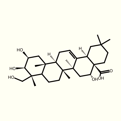 CC1(C)CC[C@]2(C(=O)O)[C@H](O)C[C@]3(C)C(=CC[C@@H]4[C@@]5(C)C[C@H](O)[C@H](O)[C@@](C)(CO)C5CC[C@]43C)[C@H]2C1